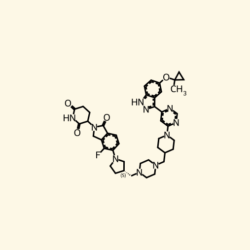 CC1(Oc2ccc3[nH]nc(-c4cc(N5CCC(CN6CCN(C[C@@H]7CCN(c8ccc9c(c8F)CN(C8CCC(=O)NC8=O)C9=O)C7)CC6)CC5)ncn4)c3c2)CC1